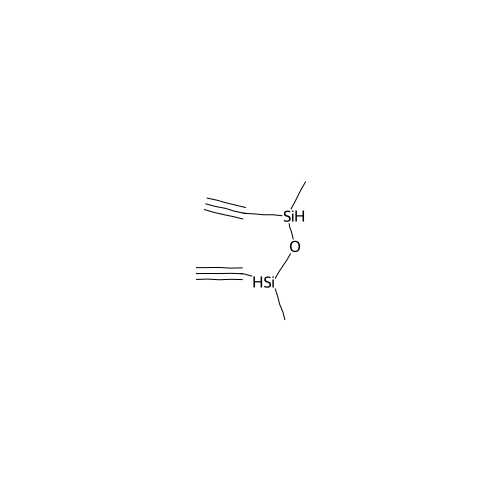 C#C[SiH](C)O[SiH](C)C#C